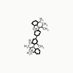 Cc1ccccc1N(c1c(C)cc(-c2ccc(N(c3c(C)cccc3C)C(C)C)cc2)cc1C)C(C)C